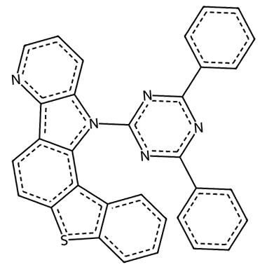 c1ccc(-c2nc(-c3ccccc3)nc(-n3c4cccnc4c4ccc5sc6ccccc6c5c43)n2)cc1